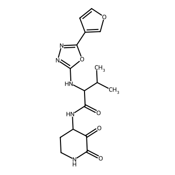 CC(C)C(Nc1nnc(-c2ccoc2)o1)C(=O)NC1CCNC(=O)C1=O